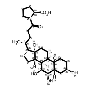 C[C@H](CCC(=O)N1CCC[C@H]1C(=O)O)[C@H]1CC[C@H]2[C@@H]3[C@H](O)[C@H](O)[C@H]4C[C@H](O)CC[C@]4(C)[C@H]3CC[C@]12C